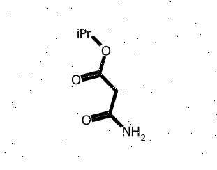 CC(C)OC(=O)CC(N)=O